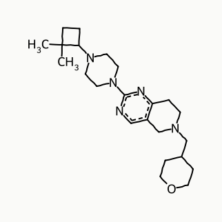 CC1(C)CCC1N1CCN(c2ncc3c(n2)CCN(CC2CCOCC2)C3)CC1